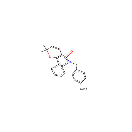 COc1ccc(Cn2c(=O)c3c(c4ccccc42)OC(C)(C)C=C3)cc1